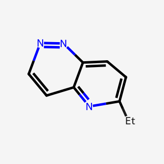 CCc1ccc2nnccc2n1